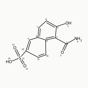 NC(=O)c1c(O)ccc2cc(S(=O)(=O)O)ccc12